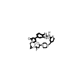 O=C(CC(F)(F)F)N1CCN(Cc2ccnc(Nc3nc4ccc(-c5ccn(CC6CC6)c(=O)c5)cc4[nH]3)c2)CC1